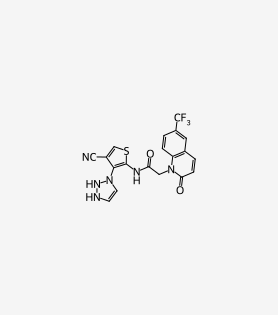 N#Cc1csc(NC(=O)Cn2c(=O)ccc3cc(C(F)(F)F)ccc32)c1N1C=CNN1